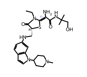 CCN1C(=O)[C@@H](CNc2ccc3ccn(C4CCN(C)CC4)c3c2)S/C1=C(/N)C(=O)NC(C)(C)CO